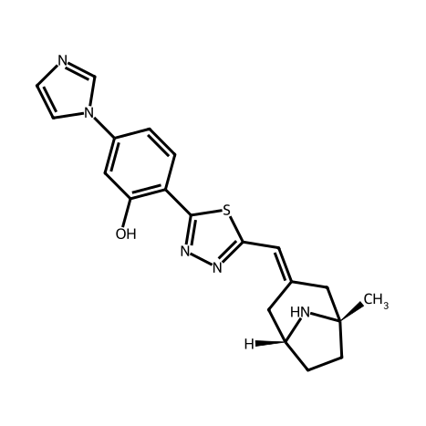 C[C@]12CC[C@H](C/C(=C\c3nnc(-c4ccc(-n5ccnc5)cc4O)s3)C1)N2